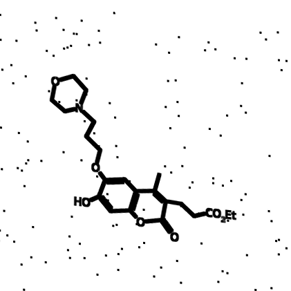 CCOC(=O)CCc1c(C)c2cc(OCCCN3CCOCC3)c(O)cc2oc1=O